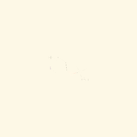 CC(C)(C)[Si](C)(C)O[C@H](CI)CC(=O)O